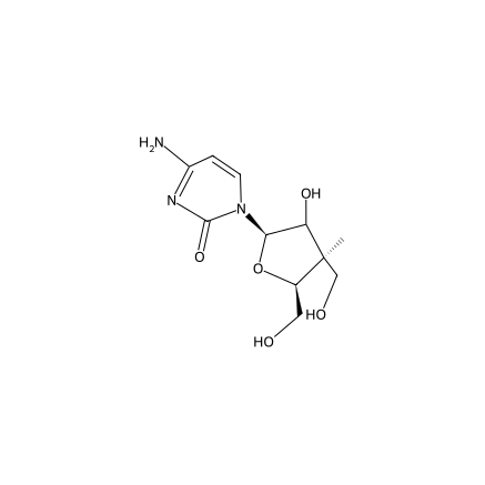 C[C@@]1(CO)C(O)[C@H](n2ccc(N)nc2=O)O[C@@H]1CO